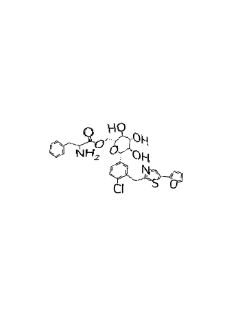 NC(Cc1ccccc1)C(=O)OC[C@H]1O[C@@H](c2ccc(Cl)c(Cc3ncc(-c4ccco4)s3)c2)[C@H](O)[C@@H](O)[C@@H]1O